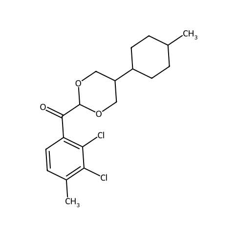 Cc1ccc(C(=O)C2OCC(C3CCC(C)CC3)CO2)c(Cl)c1Cl